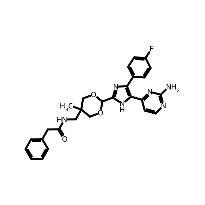 CC1(CNC(=O)Cc2ccccc2)COC(c2nc(-c3ccc(F)cc3)c(-c3ccnc(N)n3)[nH]2)OC1